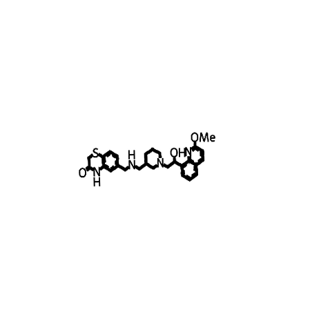 COc1ccc2cccc(C(O)CN3CCCC(CNCc4ccc5c(c4)NC(=O)CS5)C3)c2n1